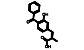 CC(=Cc1ccc(C(=O)c2ccccc2)c(O)c1)C(=O)O